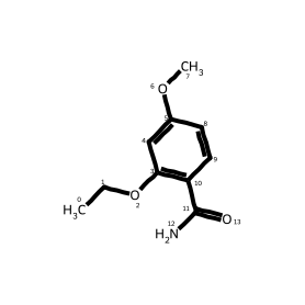 CCOc1cc(OC)ccc1C(N)=O